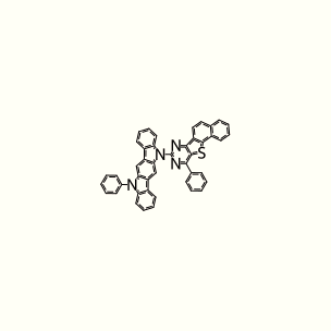 c1ccc(-c2nc(-n3c4ccccc4c4cc5c(cc43)c3ccccc3n5-c3ccccc3)nc3c2sc2c4ccccc4ccc32)cc1